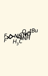 CC(C)(C)OC(=O)N[C@](C)(C=O)CNC1CC(F)(F)C1